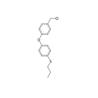 CCCSc1ccc(Oc2ccc(CCl)cc2)cc1